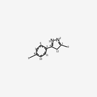 CC1=NN=C(c2ccc(C)cc2)C1